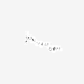 CNS(=O)(=O)c1cccc(OCC(O)CNC(=O)O[C@H]2COC3(CCN(S(=O)(=O)c4cnc5[nH]cc(C#N)c5c4)CC3)C2)c1